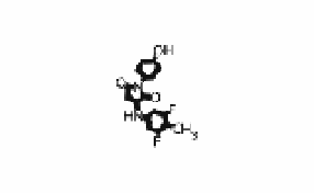 Cc1c(F)cc(NC2=CC(=O)N(c3ccc(O)cc3)C2=O)cc1F